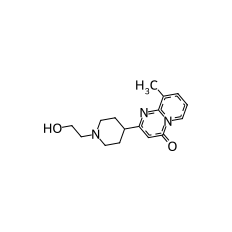 Cc1cccn2c(=O)cc(C3CCN(CCO)CC3)nc12